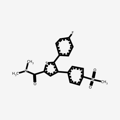 CN(C)C(=O)c1cc(-c2ccc(S(C)(=O)=O)cc2)c(-c2ccc(F)cc2)s1